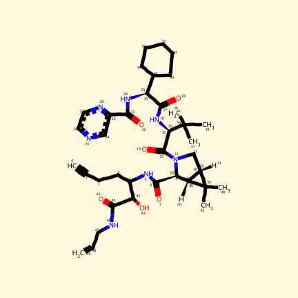 C#CCCC(NC(=O)[C@@H]1[C@@H]2[C@H](CN1C(=O)[C@@H](NC(=O)[C@@H](NC(=O)c1cnccn1)C1CCCCC1)C(C)(C)C)C2(C)C)C(O)C(=O)NCC=C